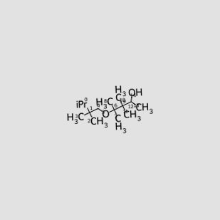 CC(C)C(C)(C)COC(C)(C)C(C)(C)C(C)O